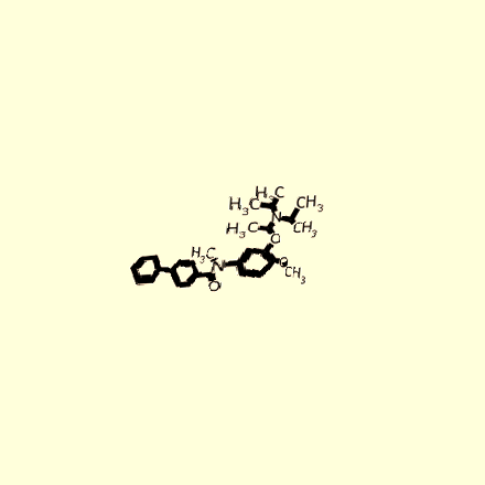 COc1ccc(N(C)C(=O)c2ccc(-c3ccccc3)cc2)cc1OC(C)N(C(C)C)C(C)C